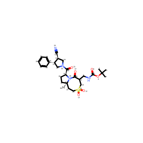 CC(C)(C)OC(=O)NCC1CS(=O)(=O)CC[C@H]2CC[C@@H](C(=O)N3C[C@H](c4ccccc4)[C@@H](C#N)C3)N2C1=O